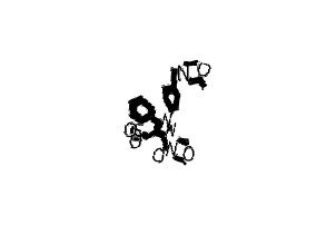 CC1CN(Cc2ccc(-n3nc(C(=O)N4CCOCC4)c4c3-c3ccccc3S(=O)(=O)C4)cc2)CCO1